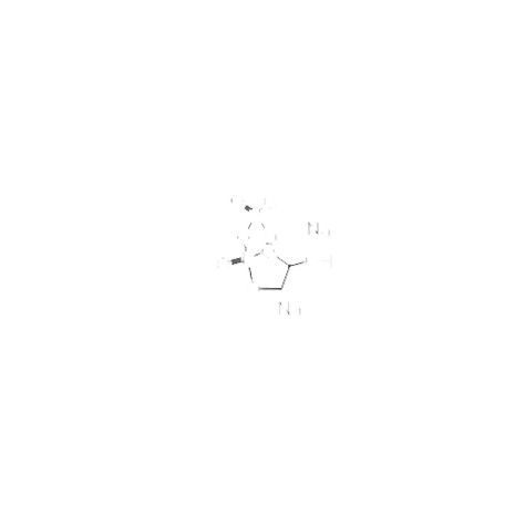 O=P([O-])([O-])OP1(=O)OCC(O)O1.[Na+].[Na+]